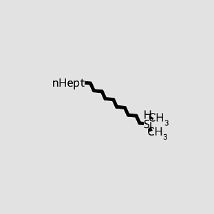 CCCCCCCCCCCCCCCCC[SiH](C)C